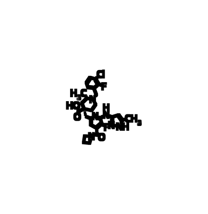 Cc1cc(Nc2nc(C[C@@]3(C(=O)O)CCN(Cc4cccc(Cl)c4F)[C@H](C)C3)cc(C(=O)N3CCC3)c2F)n[nH]1